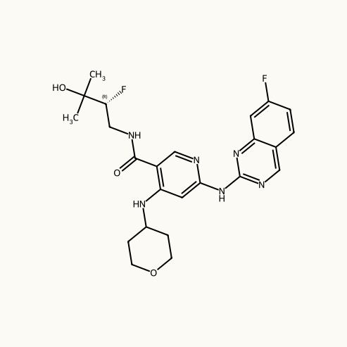 CC(C)(O)[C@H](F)CNC(=O)c1cnc(Nc2ncc3ccc(F)cc3n2)cc1NC1CCOCC1